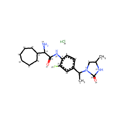 CC1CN(C(C)c2ccc(NC(=O)C(N)C3CCCCCC3)c(F)c2)C(=O)N1.Cl